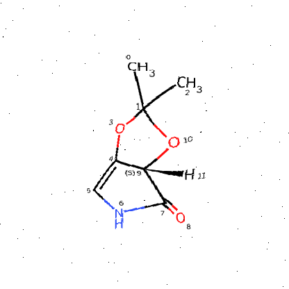 CC1(C)OC2=CNC(=O)[C@H]2O1